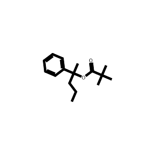 CCCC(C)(OC(=O)C(C)(C)C)c1[c]cccc1